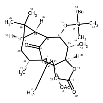 CC(=O)O[C@H]1C(C)=C[C@]23C(=O)C([C@H](O[Si](C)(C)C(C)(C)C)[C@H](C)[C@H]4OC(=O)OC412)[C@H]1[C@@H](C[C@H]3C)C1(C)C